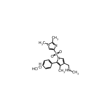 CNCc1cn(S(=O)(=O)c2cn(C)c(C)n2)c(-c2ccccc2)c1C.Cl.Cl